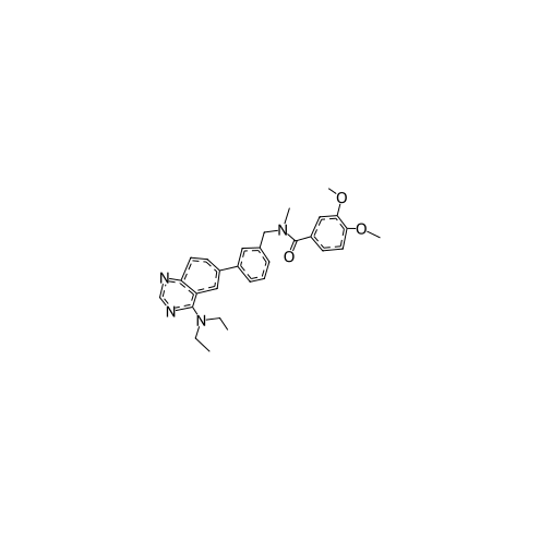 CCN(CC)c1ncnc2ccc(-c3cccc(CN(C)C(=O)c4ccc(OC)c(OC)c4)c3)cc12